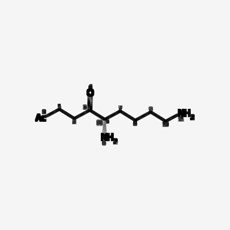 CC(=O)CCC(=O)[C@@H](N)CCCCN